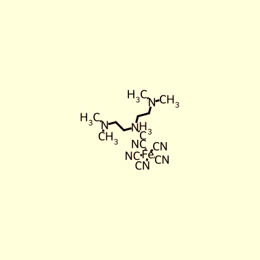 CN(C)CCN(C)CCN(C)C.N#[C][Fe]([C]#N)([C]#N)([C]#N)[C]#N